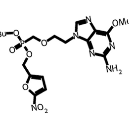 CCCCOP(=O)(COCCn1cnc2c(OC)nc(N)nc21)OCc1ccc([N+](=O)[O-])o1